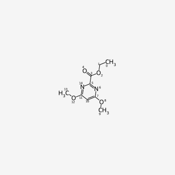 CCOC(=O)c1nc(OC)cc(OC)n1